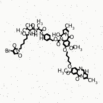 COc1cc2c(cc1OCCCCCOc1cc3c(cc1OC)C(=O)N1C=C(C)CC1C(O)N3C(=O)OCc1ccc(NC(=O)C(C)NC(=O)C(NC(=O)CCCCCN3C(=O)C=C(Br)C3=O)C(C)C)cc1)N=C[C@H]1CC(C)=CN1C2=O